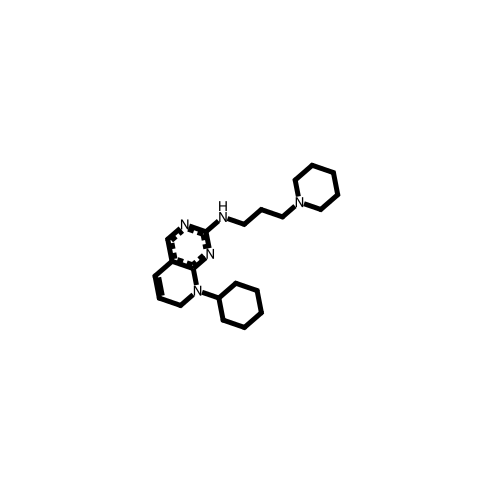 C1=Cc2cnc(NCCCN3CCCCC3)nc2N(C2CCCCC2)C1